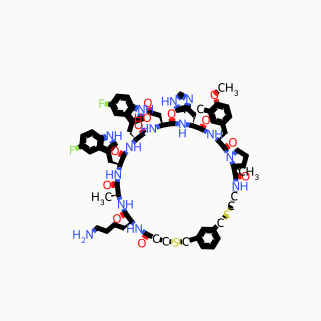 COc1ccc(C[C@@H]2NC(=O)[C@@H](Cc3c[nH]cn3)NC(=O)[C@H](CC(=O)O)NC(=O)[C@@H](Cc3c[nH]c4ccc(F)cc34)NC(=O)[C@H](Cc3c[nH]c4ccc(F)cc34)NC(=O)[C@@H](C)NC(=O)[C@H](CCCCN)NC(=O)CCSCc3cccc(c3)CSCCNC(=O)[C@]3(C)CCCN3C2=O)cc1C